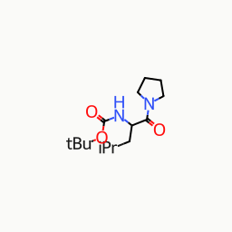 CC(C)CC(NC(=O)OC(C)(C)C)C(=O)N1CCCC1